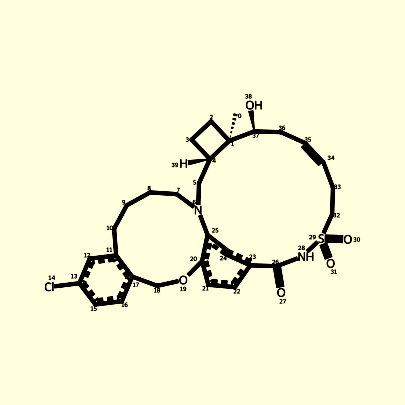 C[C@@]12CC[C@H]1CN1CCCCc3cc(Cl)ccc3COc3ccc(cc31)C(=O)NS(=O)(=O)CC/C=C\C[C@@H]2O